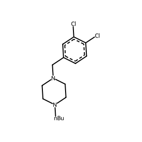 CCCCN1CCN(Cc2ccc(Cl)c(Cl)c2)CC1